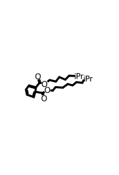 CC(C)CCCCCCCOC(=O)c1ccccc1C(=O)OCCCCCC(C)C